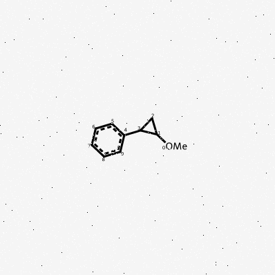 COC1CC1c1ccccc1